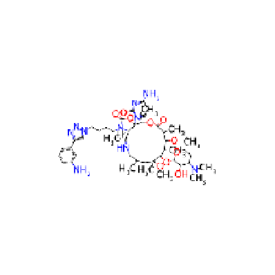 CC[C@H]1OC(=O)C(C)C(=O)[C@H](C)[C@@H](O[C@@H]2O[C@H](C)CC(N(C)C)C2O)[C@](C)(OC)C[C@@H](C)CN[C@H](C)[C@H]2N(CCCCn3cc(-c4cccc(N)c4)nn3)C(=O)O[C@]12n1ccc(N)nc1=O